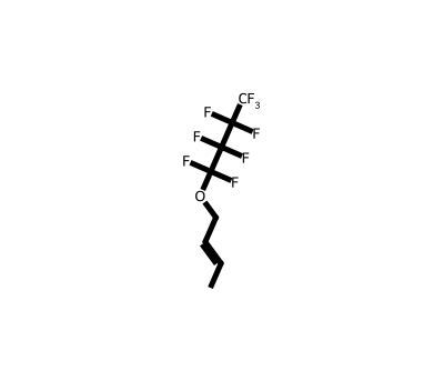 CC=CCOC(F)(F)C(F)(F)C(F)(F)C(F)(F)F